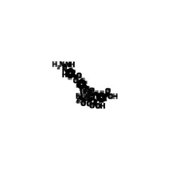 N=C(N)Nc1ccc(C(=O)Oc2ccc(CNS(=O)(=O)N(Cc3cccc(C(=O)O)c3)[C@@H](CC(=O)O)C(=O)OC(=O)C(F)(F)F)cc2)cc1